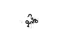 N#Cc1ccc2c(c1)c(C(N)=O)nn2CC(=O)N1[C@H](C(=O)Nc2cccc(Cl)n2)C[C@@H]2CCC[C@@H]21